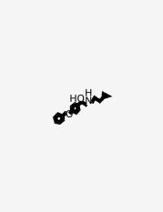 OC(CNCCCC1CC1)c1ccc(OCc2ccccc2)cc1